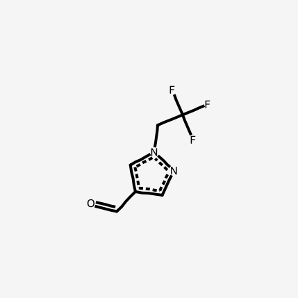 O=Cc1cnn(CC(F)(F)F)c1